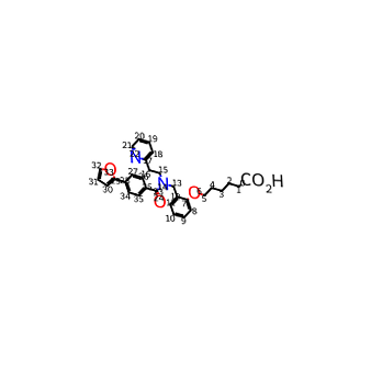 O=C(O)CCCCCOc1ccccc1CN(CCc1ccccn1)C(=O)c1ccc(-c2ccco2)cc1